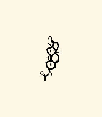 CC(=O)OC1CC[C@@]2(C)C(=CC[C@@H]3[C@@H]2CC[C@]2(C)C(=O)CC[C@@H]32)C1